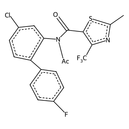 CC(=O)N(C(=O)c1sc(C)nc1C(F)(F)F)c1cc(Cl)ccc1-c1ccc(F)cc1